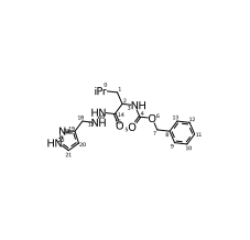 CC(C)CC(NC(=O)OCc1ccccc1)C(=O)NNCc1cc[nH]n1